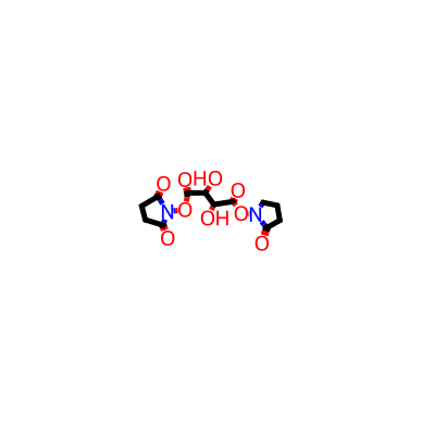 O=C(ON1CCCC1=O)C(O)C(O)C(=O)ON1C(=O)CCC1=O